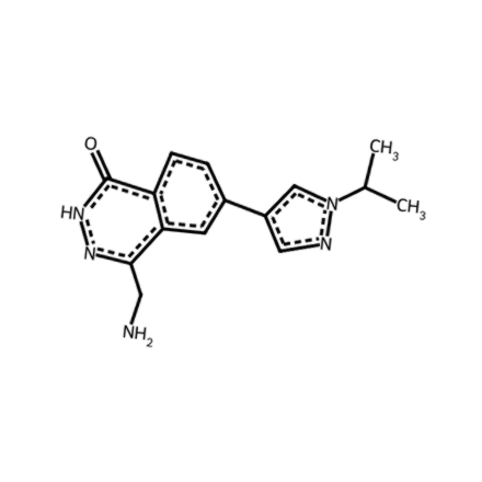 CC(C)n1cc(-c2ccc3c(=O)[nH]nc(CN)c3c2)cn1